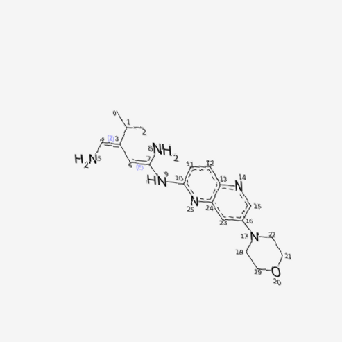 CC(C)C(=C/N)/C=C(\N)Nc1ccc2ncc(N3CCOCC3)cc2n1